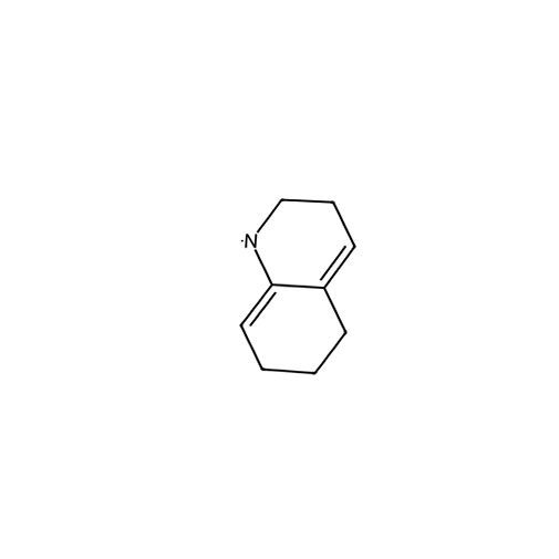 C1=C2CCCC=C2[N]CC1